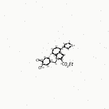 CCOC(=O)c1cc2c(-c3ccsc3)cccc2n1Cc1ccc(Cl)c(Cl)c1